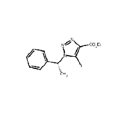 CCOC(=O)c1nnn([C@H](C)c2ccccc2)c1I